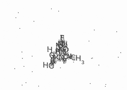 CCN1CC(F)C(N2CCC(C(=O)N3CC(O)C3)CC2)C(NC(=O)c2c(N)nn3cc(F)cnc23)C1